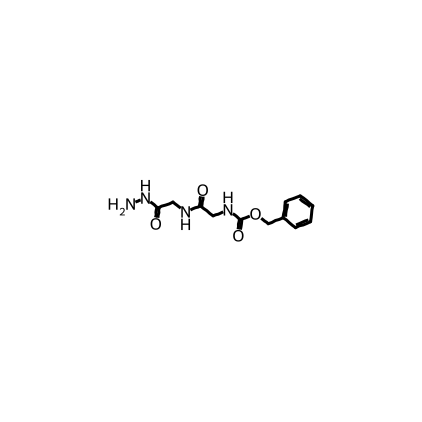 NNC(=O)CNC(=O)CNC(=O)OCc1ccccc1